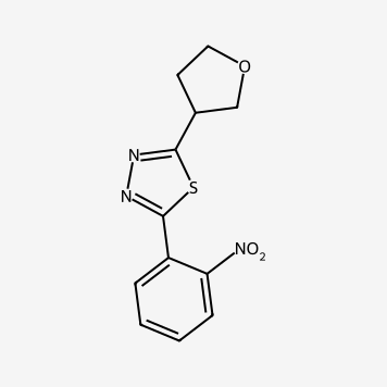 O=[N+]([O-])c1ccccc1-c1nnc(C2CCOC2)s1